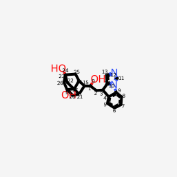 OC(CC1c2ccccc2-n2cncc21)C1C2CC3(O)CC1CC(O)(C2)C3